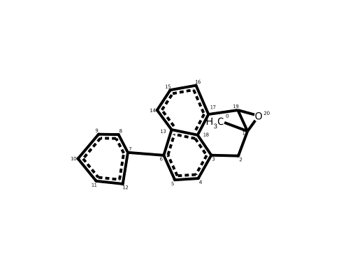 CC12Cc3ccc(-c4ccccc4)c4cccc(c34)C1O2